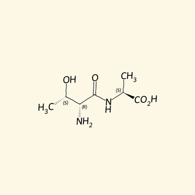 C[C@H](NC(=O)[C@H](N)[C@H](C)O)C(=O)O